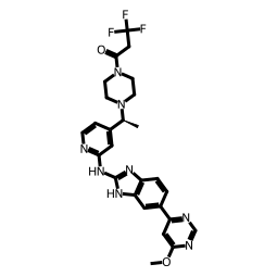 COc1cc(-c2ccc3nc(Nc4cc([C@H](C)N5CCN(C(=O)CC(F)(F)F)CC5)ccn4)[nH]c3c2)ncn1